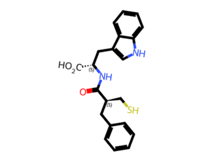 O=C(N[C@@H](Cc1c[nH]c2ccccc12)C(=O)O)[C@@H](CS)Cc1ccccc1